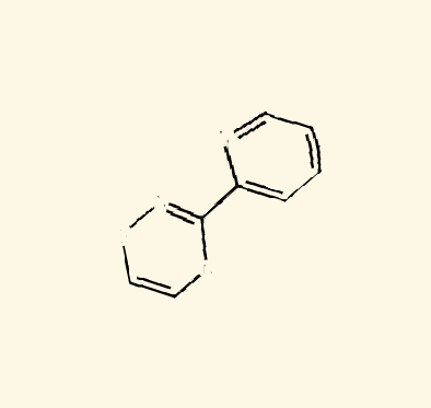 C1=CON=C(c2ccccn2)N1